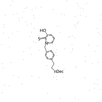 CCCCCCCCCCCCc1ccc(Cn2cccc(O)c2=S)cc1